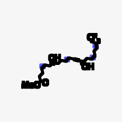 COC(=O)CC/C=C\C[C@H](O)CC/C=C/C#C[C@@H](O)C/C=C\C/C=C\CC(F)(F)F